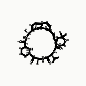 CC(C)[C@@H]1OC(=O)[C@]2(/C=C/c3ccc4ccc(nc4c3)[C@@H](C)NC(=O)[C@@H]3CCCN(N3)C(=O)[C@H](C)NC1=O)CCOC(C)(C)C2